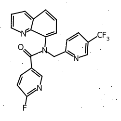 O=C(c1ccc(F)nc1)N(Cc1ccc(C(F)(F)F)cn1)c1cccc2cccnc12